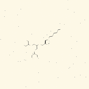 O=C(O)CCCCCn1cc(COC(COC(CO)CO)COC(CO)CO)nn1